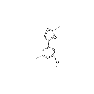 COc1cc(F)cc(-c2ccc(C)o2)c1